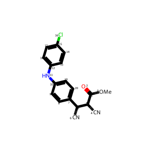 COC(=O)C(C#N)C(C#N)c1ccc(Nc2ccc(Cl)cc2)cc1